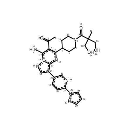 CC(=O)c1c(C2CCN(C(=O)C(C)(CO)CO)CC2)nc2c(-c3ccc(-n4cccn4)nc3)cnn2c1N